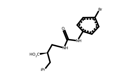 CC(C)C[C@H](CNC(=O)Nc1ccc(Br)cc1)C(=O)O